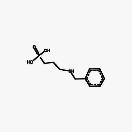 O=P(O)(O)CCCNCc1ccccc1